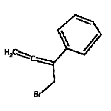 C=C=C(CBr)c1ccccc1